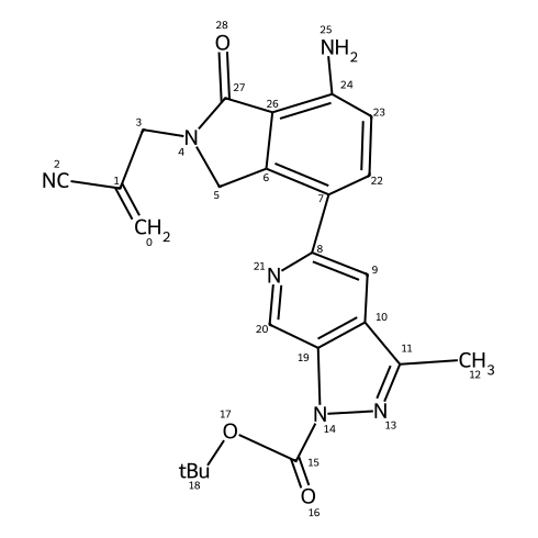 C=C(C#N)CN1Cc2c(-c3cc4c(C)nn(C(=O)OC(C)(C)C)c4cn3)ccc(N)c2C1=O